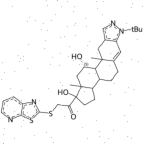 CC12Cc3cnn(C(C)(C)C)c3C=C1CCC1C2[C@@H](O)CC2(C)C1CCC2(O)C(=O)CSc1nc2cccnc2s1